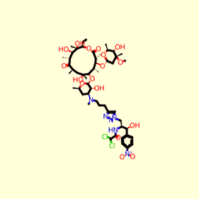 CC[C@H]1OC(=O)[C@H](C)[C@@H](O[C@H]2C[C@@](C)(OC)[C@@H](O)[C@H](C)O2)[C@H](C)[C@@H](O[C@@H]2O[C@H](C)C[C@H](N(C)CCCc3cn(C[C@H](NC(=O)C(Cl)Cl)[C@@H](O)c4ccc([N+](=O)[O-])cc4)nn3)[C@H]2O)[C@](C)(O)C[C@@H](C)C(=O)[C@H](C)[C@@H](O)[C@]1(C)O